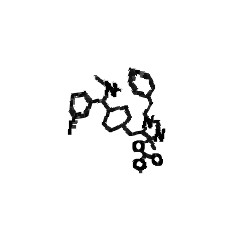 COC(=O)OC1(C)N=CN(CCc2ccccc2)C1CC1CCC(C(c2cccc(F)c2)N(C)C)CC1